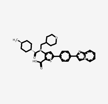 C[C@H]1CC[C@H](C(=O)N(CC2CCOCC2)c2cc(-c3ccc(-c4cn5ccccc5n4)cc3)sc2C(=O)O)CC1